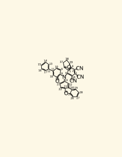 N#Cc1c(C#N)c2c(c(N3c4ccc(-c5ccccc5)cc4Oc4cc5oc6ccccc6c5cc43)c1C#N)C1CCC2O1